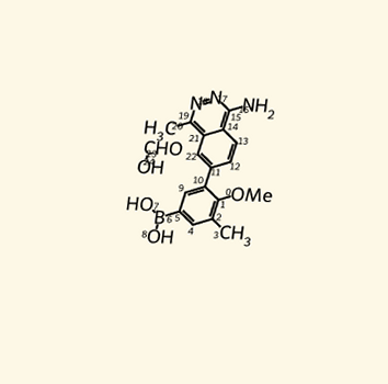 COc1c(C)cc(B(O)O)cc1-c1ccc2c(N)nnc(C)c2c1.O=CO